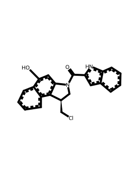 O=C(c1cc2ccccc2[nH]1)N1C[C@@H](CCl)c2c1cc(O)c1ccccc21